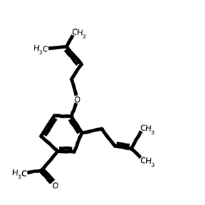 CC(=O)c1ccc(OCC=C(C)C)c(CC=C(C)C)c1